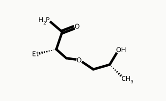 CC[C@@H](COC[C@@H](C)O)C(=O)P